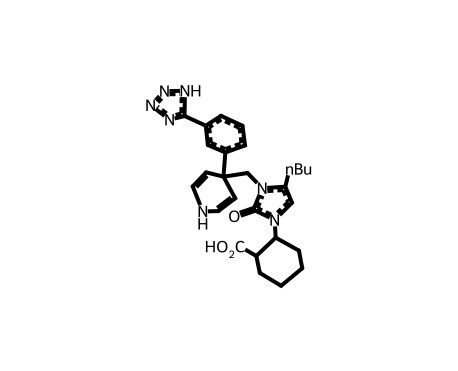 CCCCc1cn(C2CCCCC2C(=O)O)c(=O)n1CC1(c2cccc(-c3nnn[nH]3)c2)C=CNC=C1